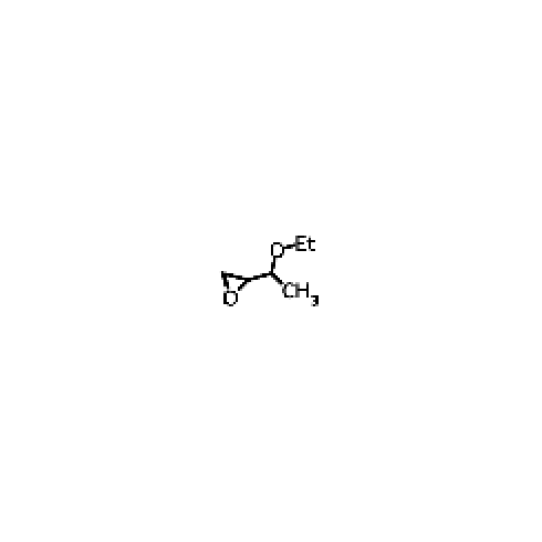 CCOC(C)C1CO1